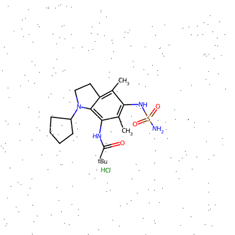 Cc1c2c(c(NC(=O)C(C)(C)C)c(C)c1NS(N)(=O)=O)N(C1CCCC1)CC2.Cl